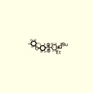 CCC1CC(S(=O)(=O)c2ccc(Oc3ccccc3)cc2)CCN1OC(C)(C)C